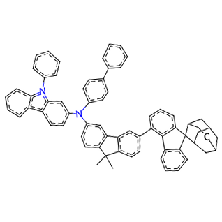 CC1(C)c2ccc(-c3cccc4c3-c3ccccc3C43C4CCC5CC(C4)CC3C5)cc2-c2cc(N(c3ccc(-c4ccccc4)cc3)c3ccc4c5ccccc5n(-c5ccccc5)c4c3)ccc21